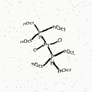 CCCCCCCC[PH](CCCCCCCC)(CCCCCCCC)[Pt]([Cl])([Cl])[PH](CCCCCCCC)(CCCCCCCC)CCCCCCCC